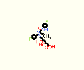 CCc1c(C(=O)Nc2ccc(F)cc2)nc(-c2ccc(F)cc2)n1CC[C@@H](O)C[C@@H](O)CC(=O)O